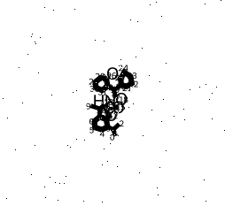 CC(C)c1cccc(C(C)C)c1OS(=O)(=O)NC(=O)C1c2ccccc2Oc2ccccc21